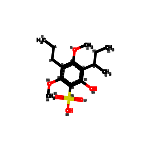 CCCc1c(OC)c(C(C)CC)c(O)c(S(=O)(=O)O)c1OC